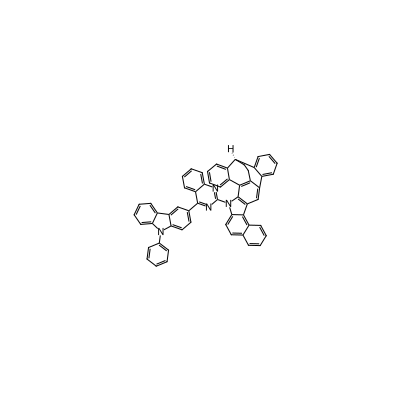 c1ccc(-n2c3ccccc3c3cc(-c4nc(-n5c6ccc7ccccc7c6c6cc7c8c(c65)-c5ccccc5[C@H](CC8)c5ccccc5-7)nc5ccccc45)ccc32)cc1